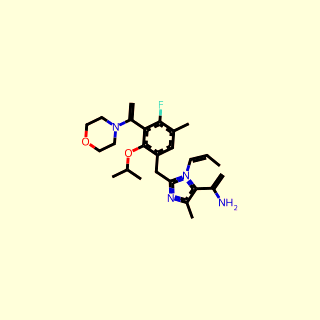 C=C(N)c1c(C)nc(Cc2cc(C)c(F)c(C(=C)N3CCOCC3)c2OC(C)C)n1/C=C\C